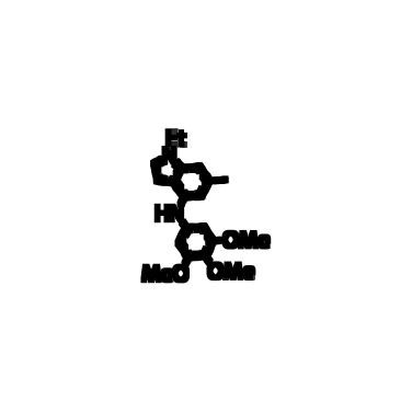 CCn1ccc2c(Nc3cc(OC)c(OC)c(OC)c3)cc(C)cc21